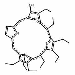 CCC1=C(CC)c2nc1c(CC)c1[nH]c(cc3nc(cc4c(CC)c(CC)c(c2CC)n4CC)C=C3)c(O)c1CC